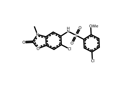 COc1ccc(Cl)cc1S(=O)(=O)Nc1cc2c(cc1Cl)oc(=O)n2C